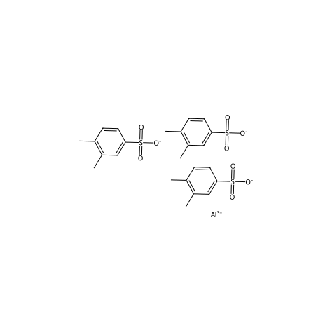 Cc1ccc(S(=O)(=O)[O-])cc1C.Cc1ccc(S(=O)(=O)[O-])cc1C.Cc1ccc(S(=O)(=O)[O-])cc1C.[Al+3]